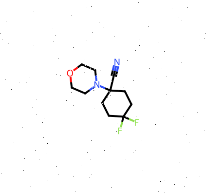 N#CC1(N2CCOCC2)CCC(F)(F)CC1